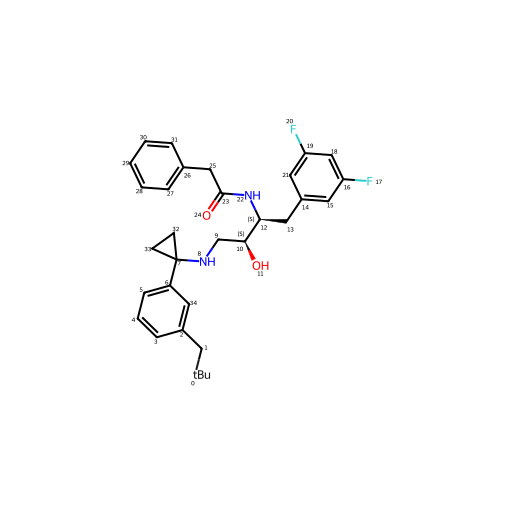 CC(C)(C)Cc1cccc(C2(NC[C@H](O)[C@H](Cc3cc(F)cc(F)c3)NC(=O)Cc3ccccc3)CC2)c1